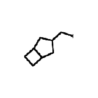 ICC1CC2CCC2C1